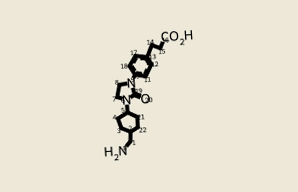 NCC1CCC(N2CCN(c3ccc(CCC(=O)O)cc3)C2=O)CC1